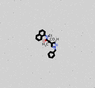 CCN(C(=O)C(C)(C(=O)O)c1cnn(Cc2ccccc2)c1)c1cccc2ccccc12